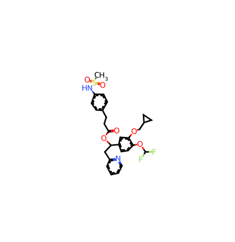 CS(=O)(=O)Nc1ccc(CCC(=O)OC(Cc2ccccn2)c2ccc(OC(F)F)c(OCC3CC3)c2)cc1